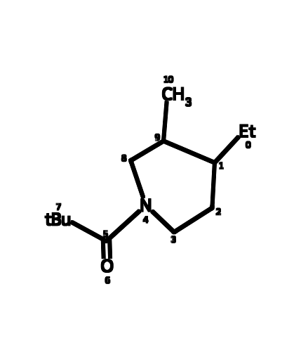 CCC1CCN(C(=O)C(C)(C)C)CC1C